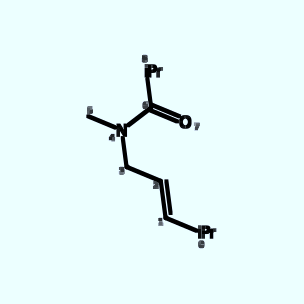 CC(C)/C=C/CN(C)C(=O)C(C)C